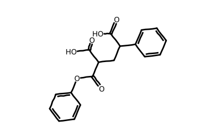 O=C(O)C(CC(C(=O)O)c1ccccc1)C(=O)Oc1ccccc1